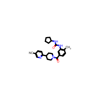 Cc1ccc(C(=O)N2CCC(c3ccc(C#N)cn3)CC2)cc1NC(=O)NC1CCCC1